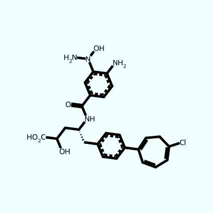 Nc1ccc(C(=O)N[C@H](Cc2ccc(C3=CCC(Cl)=CC=C3)cc2)CC(O)C(=O)O)cc1N(N)O